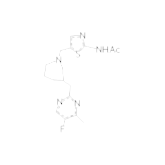 CC(=O)Nc1ncc(CN2CCCC(Cc3ncc(F)c(C)n3)C2)s1